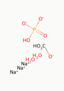 O.O.O=C([O-])O.O=P([O-])([O-])O.[Na+].[Na+].[Na+]